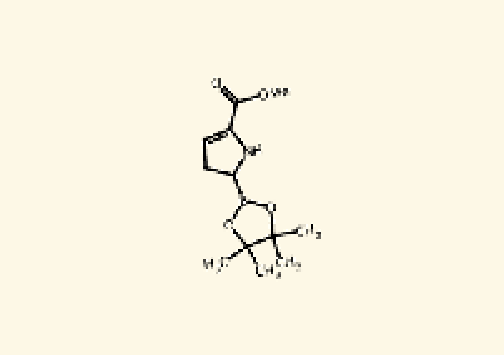 COC(=O)C1=CCC(B2OC(C)(C)C(C)(C)O2)N1